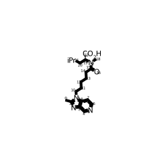 Cc1nc2cnccc2n1CCCCCC(=O)N(C)[C@H](CC(C)C)C(=O)O